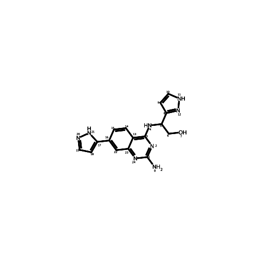 Nc1nc(NC(CO)c2cc[nH]n2)c2ccc(-c3ccn[nH]3)cc2n1